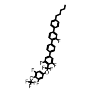 CCCCCc1ccc(-c2ccc(-c3ccc(-c4cc(F)c(C(F)(F)Oc5cc(F)c(OC(F)(F)F)c(F)c5)c(F)c4)cc3)c(F)c2)cc1